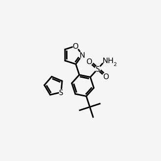 CC(C)(C)c1ccc(-c2ccon2)c(S(N)(=O)=O)c1.c1ccsc1